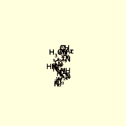 CC(=O)N(c1cncc(-c2ccc3[nH]nc(-c4nc5c(-c6ccncc6)cncc5[nH]4)c3n2)c1)N(C)C